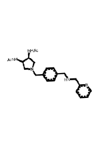 CC(=O)NC1CN(Cc2ccc(CNCc3ccccn3)cc2)CC1NC(C)=O